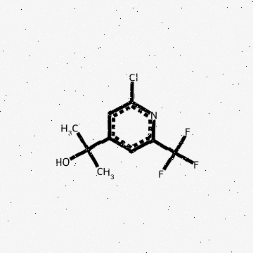 CC(C)(O)c1cc(Cl)nc(C(F)(F)F)c1